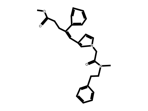 COC(=O)CCC(=Cc1ccn(CC(=O)N(C)CCc2ccccc2)c1)c1ccccc1